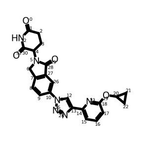 O=C1CCC(N2Cc3ccc(-n4cc(-c5cccc(OC6CC6)n5)nn4)cc3C2=O)C(=O)N1